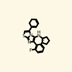 Fc1cccc(F)c1-c1nc2scc(C3=CC=CCC3)n2c1NC1CCCC1